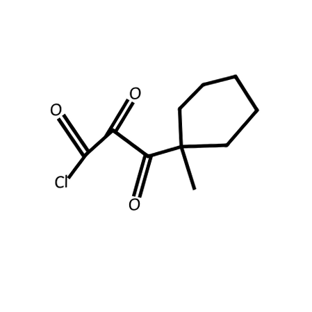 CC1(C(=O)C(=O)C(=O)Cl)CCCCC1